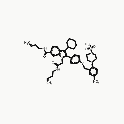 C=CCCNC(=O)Cn1c(-c2ccc(OCc3cc([N+](=O)[O-])ccc3N3CCN(S(C)(=O)=O)CC3)cc2)c(C2CCCCC2)c2ccc(C(=O)NCCC=C)cc21